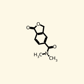 CN(C)C(=O)c1ccc2c(c1)COC2=O